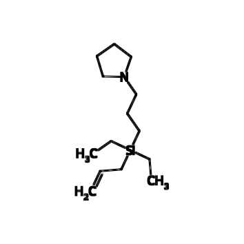 C=CC[Si](CC)(CC)CCCN1CCCC1